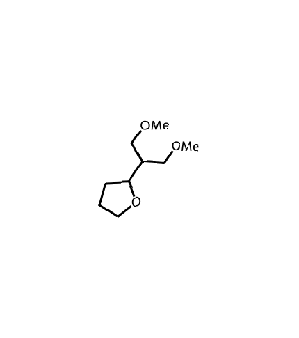 COCC(COC)C1CCCO1